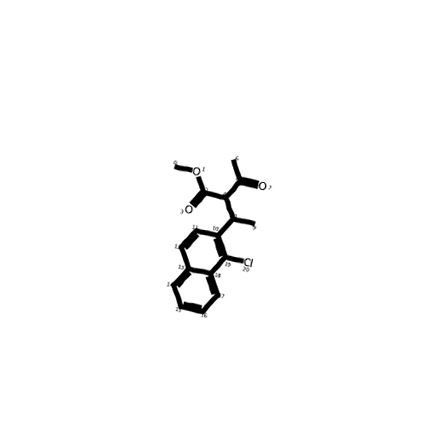 COC(=O)C(C(C)=O)C(C)c1ccc2ccccc2c1Cl